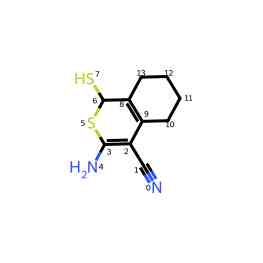 N#CC1=C(N)SC(S)C2=C1CCCC2